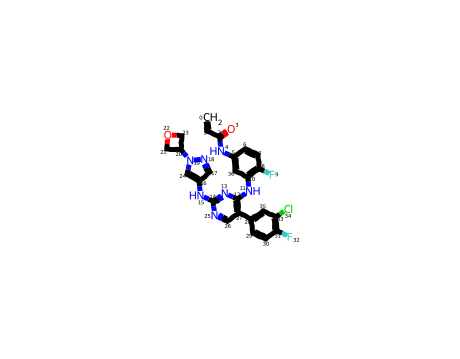 C=CC(=O)Nc1ccc(F)c(Nc2nc(Nc3cnn(C4COC4)c3)ncc2-c2ccc(F)c(Cl)c2)c1